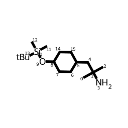 CC(C)(N)CC1CCC(O[Si](C)(C)C(C)(C)C)CC1